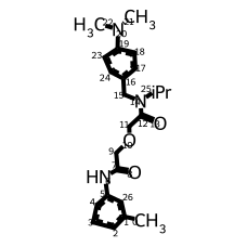 Cc1cccc(NC(=O)COCC(=O)N(Cc2ccc(N(C)C)cc2)C(C)C)c1